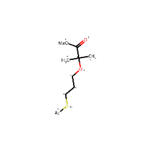 COC(=O)C(C)(C)OCCCSC(C)=O